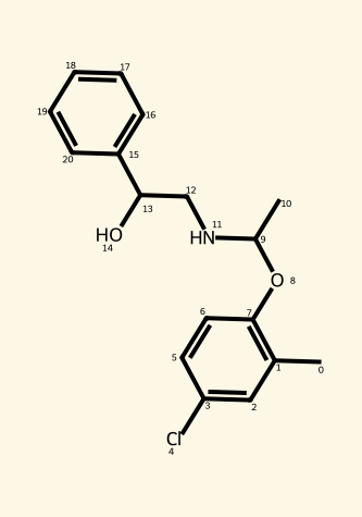 Cc1cc(Cl)ccc1OC(C)NCC(O)c1ccccc1